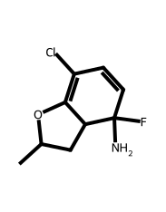 CC1CC2C(=C(Cl)C=CC2(N)F)O1